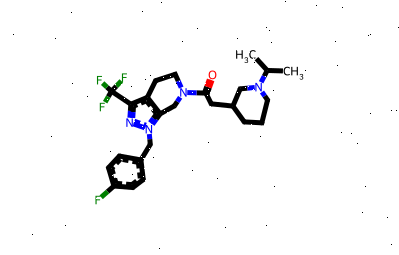 CC(C)N1CCCC(CC(=O)N2CCc3c(C(F)(F)F)nn(Cc4ccc(F)cc4)c3C2)C1